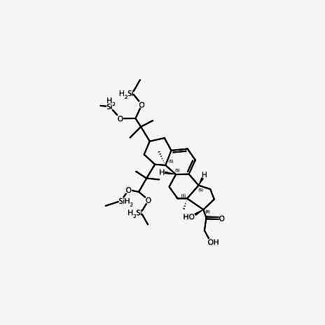 C[SiH2]OC(O[SiH2]C)C(C)(C)C1CC2=CC=C3[C@@H]4CC[C@](O)(C(=O)CO)[C@@]4(C)CC[C@@H]3[C@@]2(C)C(C(C)(C)C(O[SiH2]C)O[SiH2]C)C1